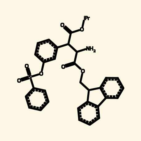 CC(C)OC(=O)C(c1cccc(OS(=O)(=O)c2ccccc2)c1)C(N)C(=O)OCC1c2ccccc2-c2ccccc21